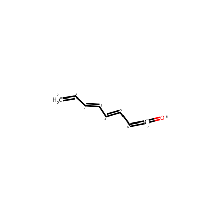 C=CC=CC=CC=C=O